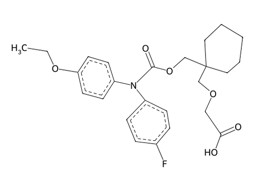 CCOc1ccc(N(C(=O)OCC2(COCC(=O)O)CCCCC2)c2ccc(F)cc2)cc1